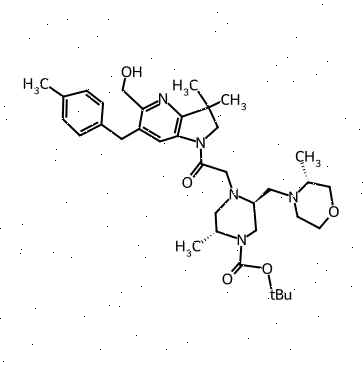 Cc1ccc(Cc2cc3c(nc2CO)C(C)(C)CN3C(=O)CN2C[C@@H](C)N(C(=O)OC(C)(C)C)C[C@@H]2CN2CCOC[C@H]2C)cc1